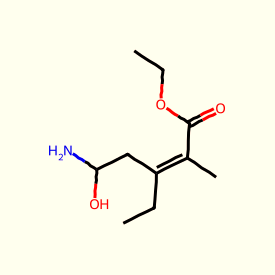 CCOC(=O)C(C)=C(CC)CC(N)O